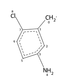 [CH2]c1cc(N)ccc1Cl